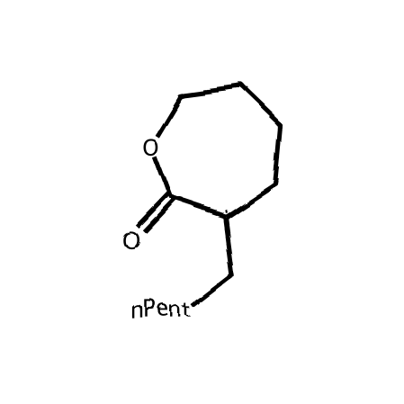 CCCCCC[C]1CCCCOC1=O